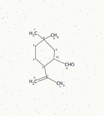 C=C(C)C1CCC(C)(C)CC1C=O